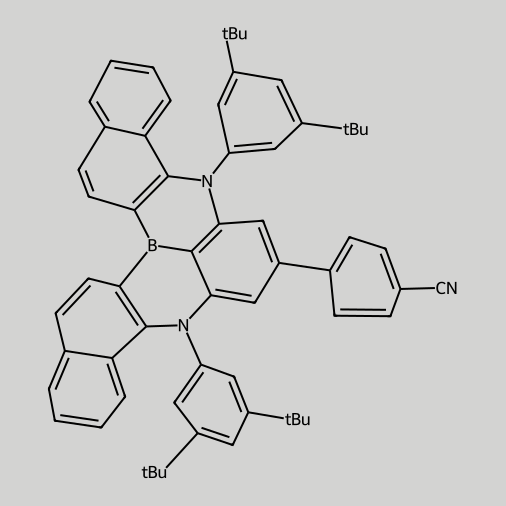 CC(C)(C)c1cc(N2c3cc(-c4ccc(C#N)cc4)cc4c3B(c3ccc5ccccc5c32)c2ccc3ccccc3c2N4c2cc(C(C)(C)C)cc(C(C)(C)C)c2)cc(C(C)(C)C)c1